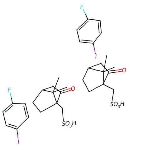 CC1(C)C2CCC1(CS(=O)(=O)O)C(=O)C2.CC1(C)C2CCC1(CS(=O)(=O)O)C(=O)C2.Fc1ccc(I)cc1.Fc1ccc(I)cc1